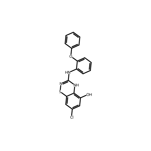 Oc1cc(Cl)cc2c1NC(Nc1ccccc1Oc1ccccc1)=NS2